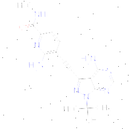 CNC(=O)c1ccc(C#Cc2nn(C(C)(C)C)c3ncnc(N)c23)c(N)n1